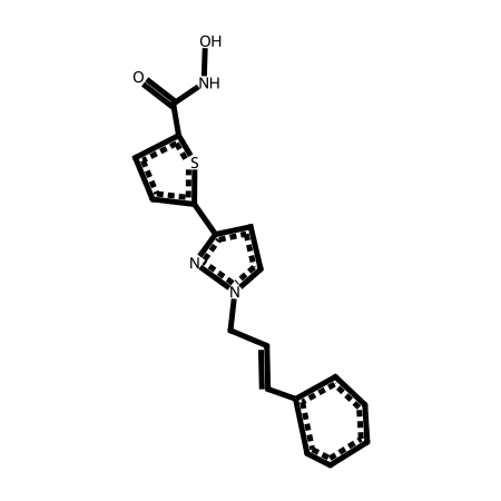 O=C(NO)c1ccc(-c2ccn(C/C=C/c3ccccc3)n2)s1